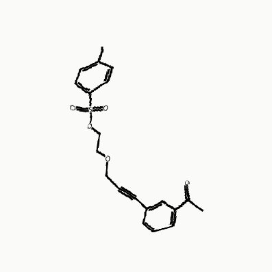 CC(=O)c1cccc(C#CCOCCOS(=O)(=O)c2ccc(C)cc2)c1